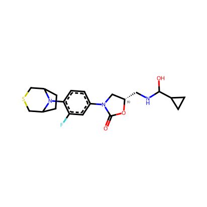 O=C1O[C@@H](CNC(O)C2CC2)CN1c1ccc(N2C3CCC2CSC3)c(F)c1